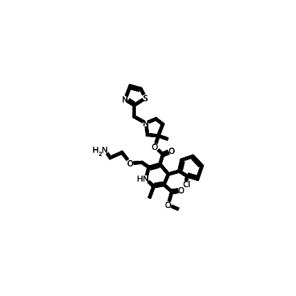 COC(=O)C1=C(C)NC(COCCN)=C(C(=O)OC2(C)CCN(Cc3nccs3)C2)C1c1ccccc1Cl